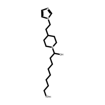 CCCCCCCCCCCCCCCCCC(O)N1CCC(CCn2ccnc2)CC1